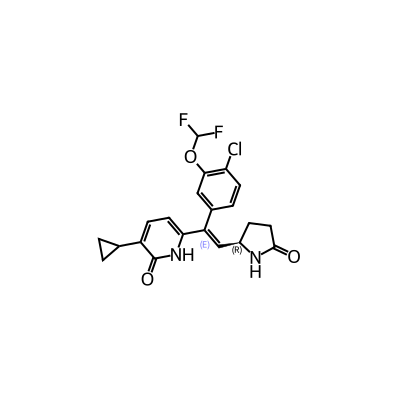 O=C1CC[C@H](/C=C(\c2ccc(Cl)c(OC(F)F)c2)c2ccc(C3CC3)c(=O)[nH]2)N1